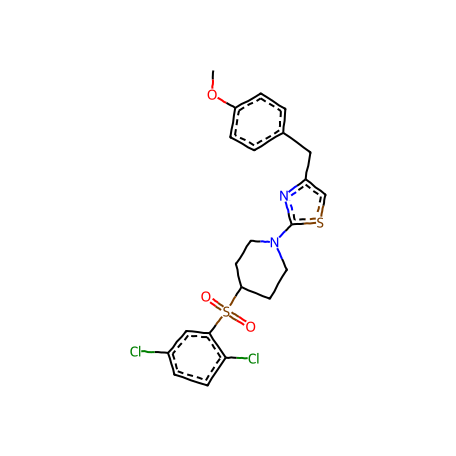 COc1ccc(Cc2csc(N3CCC(S(=O)(=O)c4cc(Cl)ccc4Cl)CC3)n2)cc1